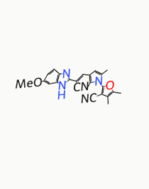 COc1ccc2nc(/C(C#N)=C/c3cc(C)n(-c4oc(C)c(C)c4C#N)c3C)[nH]c2c1